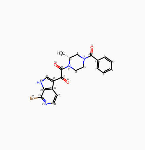 C[C@@H]1CN(C(=O)c2ccccc2)CCN1C(=O)C(=O)c1c[nH]c2c(Br)nccc12